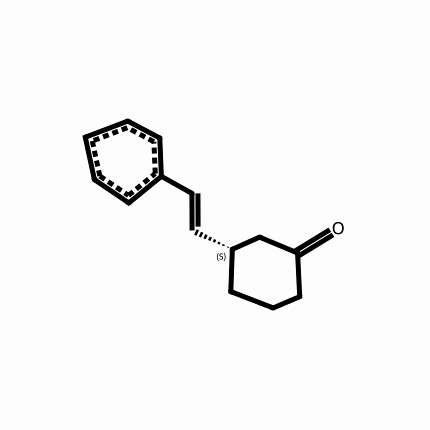 O=C1CCC[C@H](C=Cc2ccccc2)C1